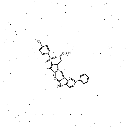 Cc1[nH]c(/C=C2\C(=O)Nc3ccc(-c4ccccc4)cc32)c(CCC(=O)O)c1S(=O)(=O)c1ccc(Cl)cc1